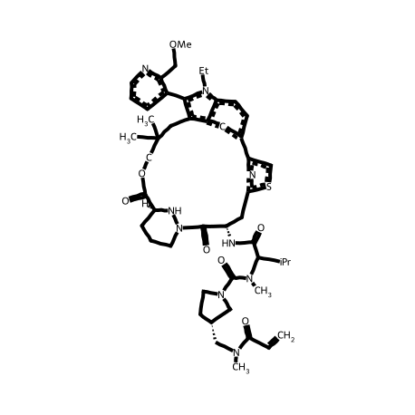 C=CC(=O)N(C)C[C@@H]1CCN(C(=O)N(C)C(C(=O)N[C@H]2Cc3nc(cs3)-c3ccc4c(c3)c(c(-c3cccnc3COC)n4CC)CC(C)(C)COC(=O)[C@@H]3CCCN(N3)C2=O)C(C)C)C1